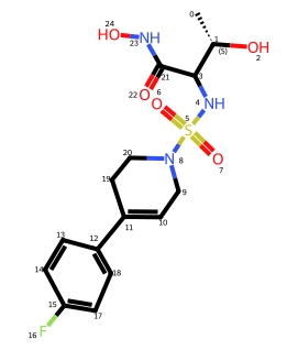 C[C@H](O)C(NS(=O)(=O)N1CC=C(c2ccc(F)cc2)CC1)C(=O)NO